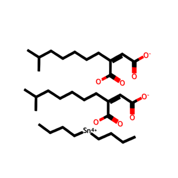 CC(C)CCCCC/C(=C/C(=O)[O-])C(=O)[O-].CC(C)CCCCC/C(=C/C(=O)[O-])C(=O)[O-].CCC[CH2][Sn+4][CH2]CCC